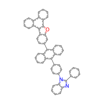 c1ccc(-c2nc3ccccc3n2-c2ccc(-c3c4ccccc4c(-c4ccc5c(c4)oc4c6ccccc6c6ccccc6c54)c4ccccc34)cc2)cc1